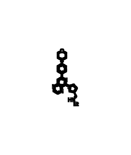 CCNC[C@@H]1CCN(c2nc(-c3ccc(N4CCOCC4)cc3)cc3nccnc23)C1